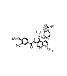 COc1ccc(C(=O)Nc2cnc3c(c([C@@H]4CCN(C(=O)C(C)C)C(C)(C)C4)cn3C)c2OC)cc1C#N